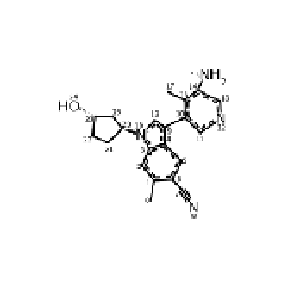 Cc1cc2c(cc1C#N)c(-c1cncc(N)c1C)cn2[C@H]1CC[C@H](O)C1